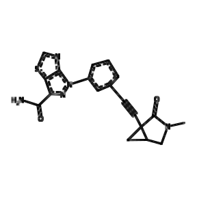 CN1CC2CC2(C#Cc2cccc(-n3nc(C(N)=O)c4scnc43)c2)C1=O